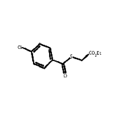 CCOC(=O)CSC(=O)c1ccc(Cl)cc1